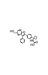 O=C(O)NC1(c2ccc(-c3oc4ncc(CO)nc4c3-c3ccccc3)cc2)CCC1